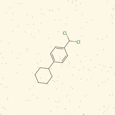 ClC(Cl)c1ccc(C2CCCCC2)cc1